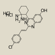 Cl.Cl.NC1(N)CCCCC1c1nc(C=Cc2ccc(Cl)cc2)nc2ccc(O)cc12